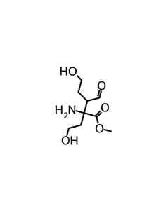 COC(=O)C(N)(CCO)C(C=O)CCO